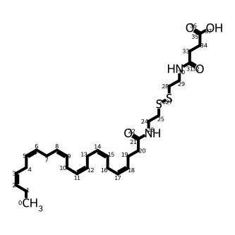 CC/C=C\C/C=C\C/C=C\C/C=C\C/C=C\C/C=C\CCC(=O)NCCSSCCNC(=O)CCC(=O)O